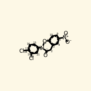 O=C1Cc2cc([N+](=O)[O-])ccc2ON1c1ccc(Cl)c(Cl)c1